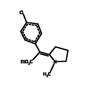 CCOC(=O)C(=C1CCCN1C)c1ccc(Cl)cc1